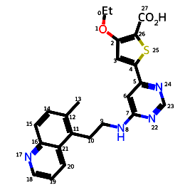 CCOc1cc(-c2cc(NCCc3c(C)ccc4ncccc34)ncn2)sc1C(=O)O